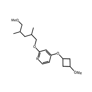 COCC(C)CC(C)COc1cc(OC2CC(OC)C2)ccn1